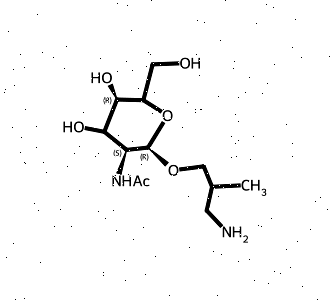 CC(=O)N[C@H]1C(O)[C@@H](O)C(CO)O[C@H]1OCC(C)CN